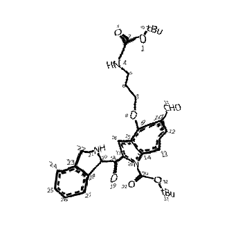 CC(C)(C)OC(=O)NCCCOc1c(C=O)ccc2c1cc(C(=O)C1NCc3ccccc31)n2C(=O)OC(C)(C)C